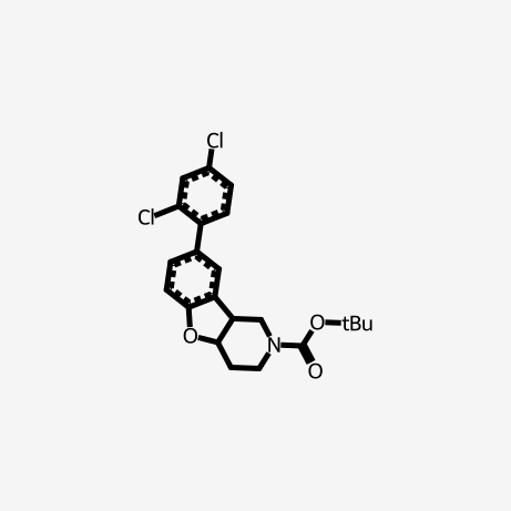 CC(C)(C)OC(=O)N1CCC2Oc3ccc(-c4ccc(Cl)cc4Cl)cc3C2C1